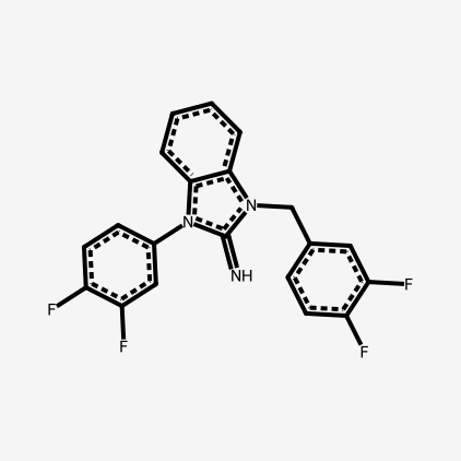 N=c1n(Cc2ccc(F)c(F)c2)c2ccccc2n1-c1ccc(F)c(F)c1